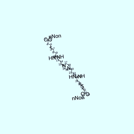 CCCCCCCCCOC(=O)CCSCCCC(=N)NCCCN1CCN(CCCNC(=N)CCCSCCC(=O)OCCCCCCCCC)CC1